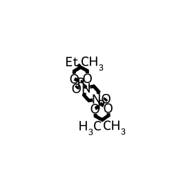 CCC1(C)COP(=O)(N2CCN(P3(=O)OCC(C)(C)CO3)CC2)OC1